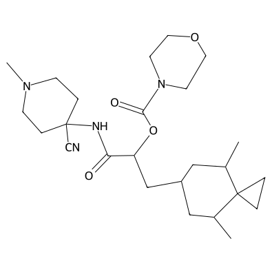 CC1CC(CC(OC(=O)N2CCOCC2)C(=O)NC2(C#N)CCN(C)CC2)CC(C)C12CC2